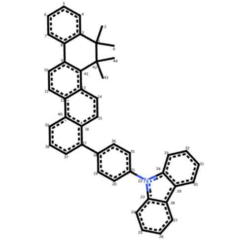 CC1(C)c2ccccc2-c2ccc3c(ccc4c(-c5ccc(-n6c7ccccc7c7ccccc76)cc5)cccc43)c2C1(C)C